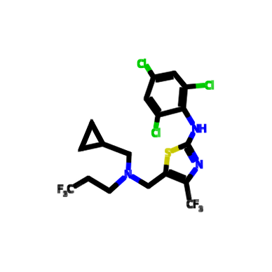 FC(F)(F)CCN(Cc1sc(Nc2c(Cl)cc(Cl)cc2Cl)nc1C(F)(F)F)CC1CC1